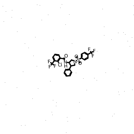 O=C(NC1CN(S(=O)(=O)c2ccc(C(F)(F)F)cc2)CC1c1ccccc1)c1cccc(C(F)(F)F)c1Cl